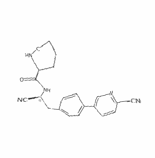 N#Cc1ccc(-c2ccc(C[C@@H](C#N)NC(=O)C3CCCCN3)cc2)cn1